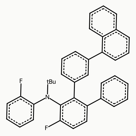 CC(C)(C)N(c1ccccc1F)c1c(F)ccc(-c2ccccc2)c1-c1cccc(-c2cccc3ccccc23)c1